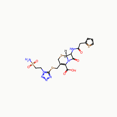 NS(=O)(=O)CCn1nnnc1SCC1=C(C(=O)O)N2C(=O)C(NC(=O)Cc3cccs3)[C@H]2SC1